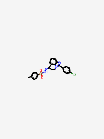 Cc1ccc(S(=O)(=O)NN=C2CCn3c(-c4ccc(Cl)cc4)nc4cccc2c43)cc1